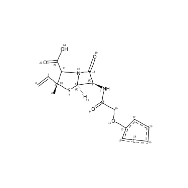 C=C[C@@]1(C)S[C@@H]2[C@H](NC(=O)COc3ccccc3)C(=O)N2C1C(=O)O